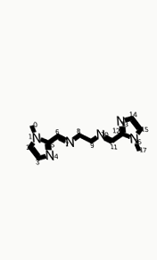 Cn1ccnc1/C=N/CC/N=C/c1nccn1C